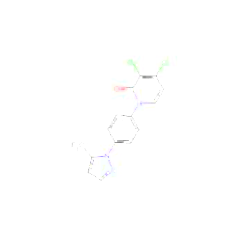 O=c1c(Cl)c(Cl)ccn1-c1ccc(-n2nccc2C(F)(F)F)cc1